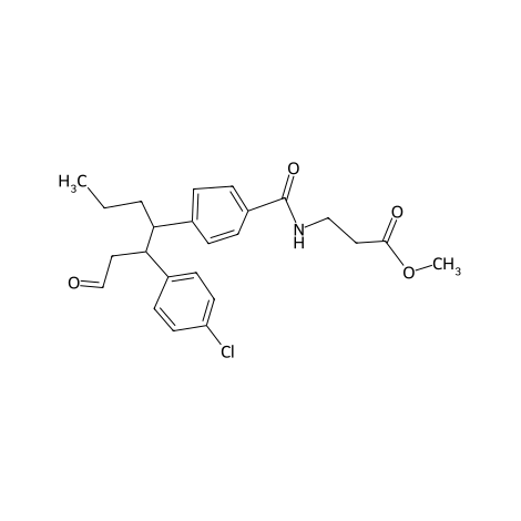 CCCC(c1ccc(C(=O)NCCC(=O)OC)cc1)C(CC=O)c1ccc(Cl)cc1